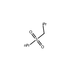 [CH2]CCS(=O)(=O)CC(C)C